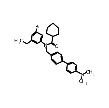 CCc1cc(Br)cc(N(Cc2ccc(-c3ccc(N(C)C)cc3)cc2)C(=O)C2CCCCC2)c1